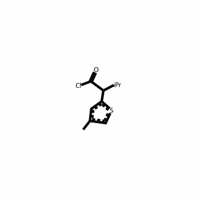 Cc1csc(C(C(=O)Cl)C(C)C)c1